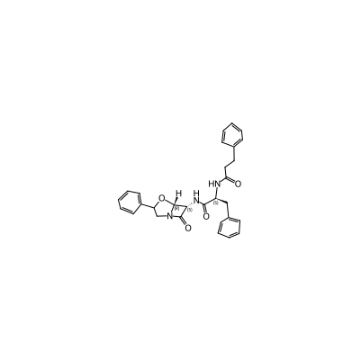 O=C(CCc1ccccc1)N[C@@H](Cc1ccccc1)C(=O)N[C@@H]1C(=O)N2CC(c3ccccc3)O[C@H]12